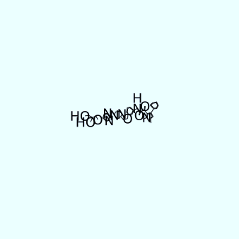 Cc1cc(-c2ccccc2)c(C(=O)C(=O)Nc2ccc3c(c2)OCC2CN(c4ncc(OCC(O)CO)cn4)CCN32)n1C